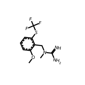 COc1cccc(SC(F)(F)F)c1CN(C)C(=N)N